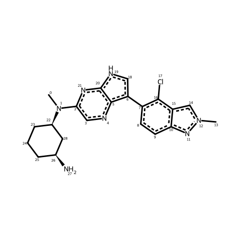 CN(c1cnc2c(-c3ccc4nn(C)cc4c3Cl)c[nH]c2n1)[C@@H]1CCC[C@H](N)C1